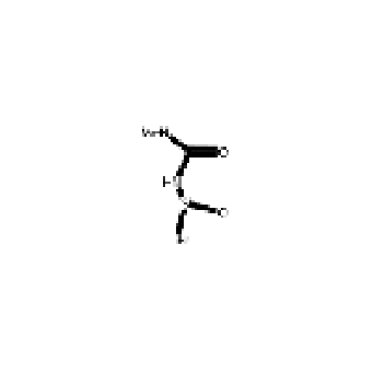 CNC(=O)N[S+]([O-])C(C)C